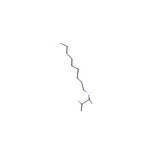 CCCCCCCCCCCCCCCCCCNC(C(C)O)S(=O)(=O)O